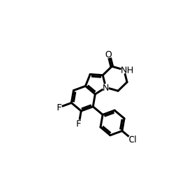 O=C1NCCn2c1cc1cc(F)c(F)c(-c3ccc(Cl)cc3)c12